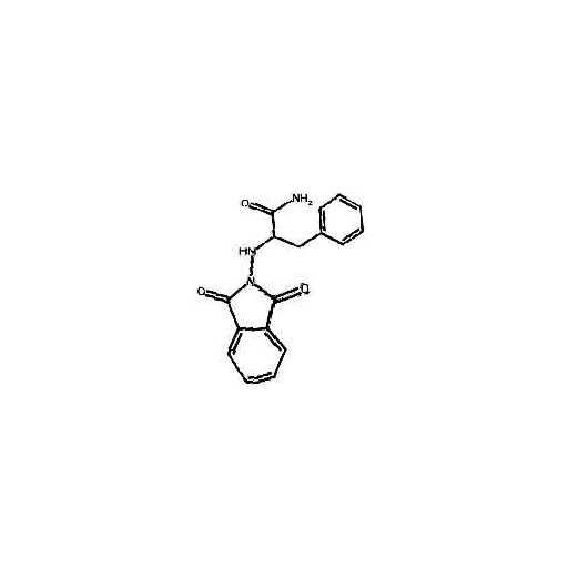 NC(=O)C(Cc1ccccc1)NN1C(=O)c2ccccc2C1=O